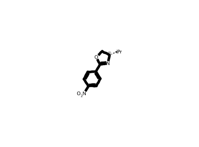 CC(C)[C@H]1COC(c2ccc([N+](=O)[O-])cc2)=N1